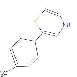 FC(F)(F)C1=CCC(C2=CNC=CS2)C=C1